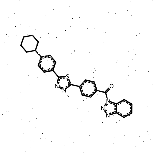 O=C(c1ccc(-c2nnc(-c3ccc(C4CCCCC4)cc3)s2)cc1)n1nnc2ccccc21